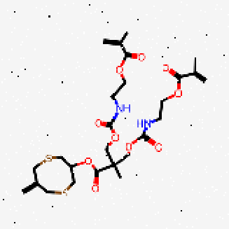 C=C1CSCC(OC(=O)C(C)(COC(=O)NCCOC(=O)C(=C)C)COC(=O)NCCOC(=O)C(=C)C)CSC1